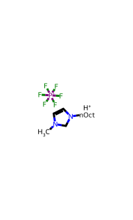 CCCCCCCCN1C=CN(C)C1.F[P-](F)(F)(F)(F)F.[H+]